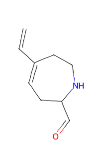 C=CC1=CCC(C=O)NCC1